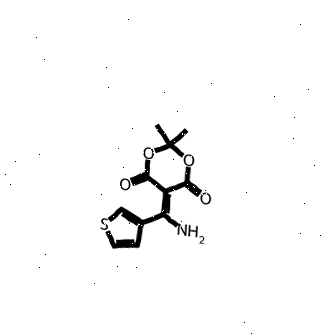 CC1(C)OC(=O)C(=C(N)c2ccsc2)C(=O)O1